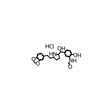 Cl.O=CNc1cc(C(O)C2CCC(CCc3ccc4c(c3)OCO4)N2)ccc1O